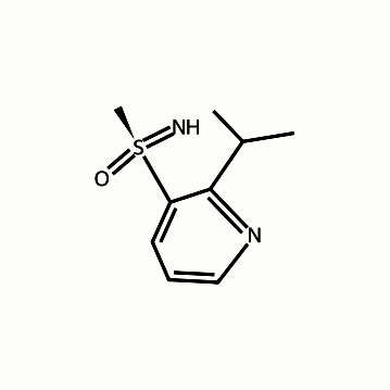 CC(C)c1ncccc1[S@@](C)(=N)=O